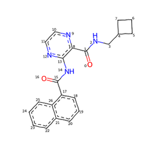 O=C(NCC1CCC1)c1nccnc1NC(=O)c1cccc2ccccc12